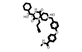 C#CCCN1C(=O)[C@@H]([C@H](O)C2CCCCC2)NC(=O)C12CCN(Cc1ccc(Oc3ccc(C(=O)NC)cc3)cc1)CC2.Cl